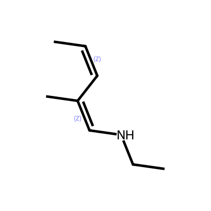 C/C=C\C(C)=C/NCC